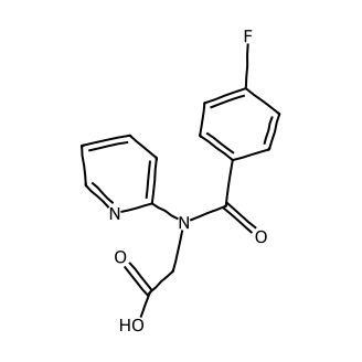 O=C(O)CN(C(=O)c1ccc(F)cc1)c1ccccn1